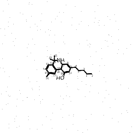 CCCCCC1=CC2NC(C)(C)c3ccc(C)cc3C2C(O)=C1